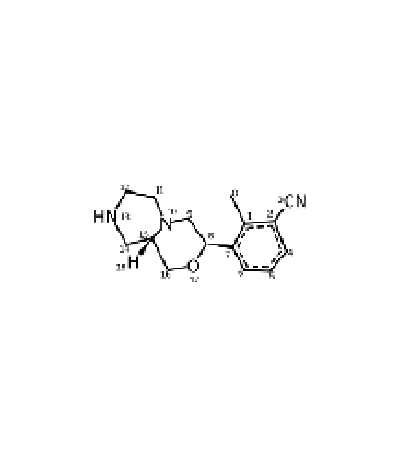 Cc1c(C#N)cccc1[C@@H]1CN2CCNC[C@H]2CO1